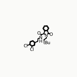 CC(C)(C)CCN1C(=O)c2ccccc2C1C(=O)NCCc1ccc(Cl)c(Cl)c1